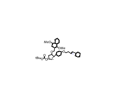 COc1cc(COC2CN(OC(=O)OC(C)(C)C)CCC2c2ccc(OCC/C=C/c3ccccc3)cc2)c(OC)c2ccccc12